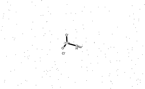 [Cl-].[Na+].[O-][Cl+2]([O-])O